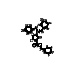 O=C(OCc1ccccc1)[C@H]1CC[C@H](N(Cc2ccccc2)Cc2ccccc2)C1